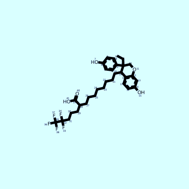 CCC1(c2ccc(O)cc2)COc2cc(O)ccc2C1CCCCCCCCC(CCCC(F)(F)C(F)(F)F)C(=O)O